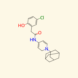 O=C(Cc1cc(Cl)ccc1O)NC1=CCN(C23CC4CC(CC(C4)C2)C3)C=C1